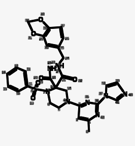 Cc1cc(N2CCN(S(=O)(=O)c3ccccc3)C(C(N)=O)(C(=O)NCc3ccc4c(c3)OCO4)C2)nc(-n2ccnc2)n1